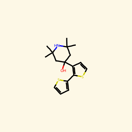 CC1(C)CC(O)(c2ccsc2-c2cccs2)CC(C)(C)N1